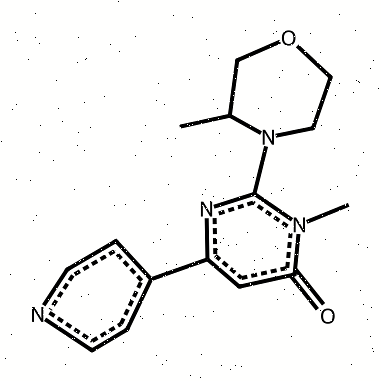 CC1COCCN1c1nc(-c2ccncc2)cc(=O)n1C